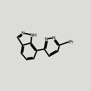 CC(C)c1ccc(-c2cccc3cn[nH]c23)nn1